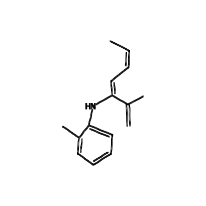 C=C(C)/C(=C\C=C/C)Nc1ccccc1C